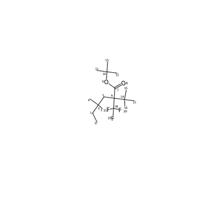 CCC(C)(C)CC(C(=O)OC(C)(C)C)(C(C)(C)C)C(F)(F)F